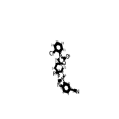 N#Cc1ccc2ncn(C[C@H]3C[C@]4(CCC3(F)F)CN(c3ccccc3Cl)C(=O)O4)c2c1